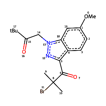 COc1ccc2c(C(=O)C(C)(C)Br)nn(CC(=O)C(C)(C)C)c2c1